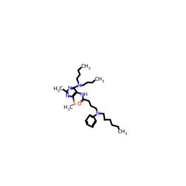 CCCCCCN(CCCC(=O)Nc1c(SC)nc(C)nc1N(CCCC)CCCC)c1ccccc1